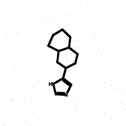 c1ncc(C2CCC3CCCCC3C2)[nH]1